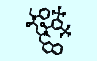 CCN(C(=O)CCC(Cc1ccc2ccccc2c1)N(C)C(=O)c1cc(C(F)(F)F)cc(C(F)(F)F)c1)c1ccccc1